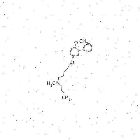 CCCCN(C)CCCCCOc1ccc(OC)c(-c2ccccc2)c1